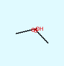 CCCCCCCCCCCCCCCCOC[C@@H](CO)OCCCCCCCCCCCCCCCC